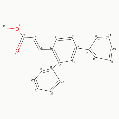 COC(=O)/C=C/c1ccc(-c2ccccc2)cc1-c1ccccc1